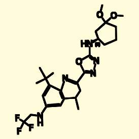 COC1(OC)CCC[C@@H](Nc2nnc(C3=Nc4c(cc(NCC(F)(F)F)cc4C(C)(C)C)C(C)C3)o2)C1